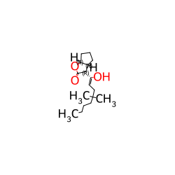 CCCCC(C)(C)CC=C(O)[C@@H]1C(=O)O[C@@H]2CCC[C@H]12